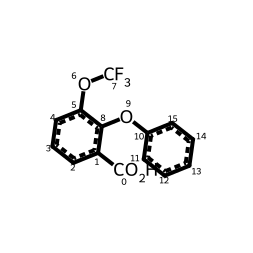 O=C(O)c1cccc(OC(F)(F)F)c1Oc1ccccc1